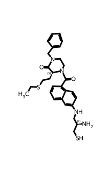 CCSCC[C@H]1C(=O)N(Cc2ccccc2)CCN1C(=O)c1cccc2cc(NC[C@@H](N)CS)ccc12